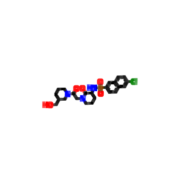 O=C(CN1CCC[C@H](NS(=O)(=O)c2ccc3cc(Cl)ccc3c2)C1=O)N1CCCC(CO)C1